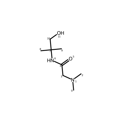 CN(C)CC(=O)NC(C)(C)CO